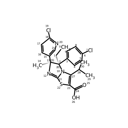 CC[C@]1(c2ccc(Cl)cc2)N2C(=N[C@@]1(C)c1ccc(Cl)nc1)SC(C(=O)O)=C2C(C)C